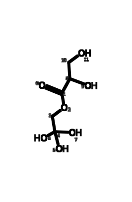 O=C(OCC(O)(O)O)C(O)CO